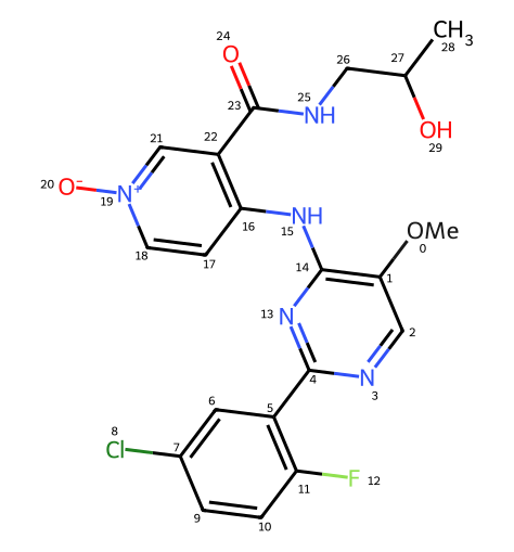 COc1cnc(-c2cc(Cl)ccc2F)nc1Nc1cc[n+]([O-])cc1C(=O)NCC(C)O